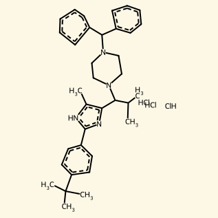 Cc1[nH]c(-c2ccc(C(C)(C)C)cc2)nc1C(C(C)C)N1CCN(C(c2ccccc2)c2ccccc2)CC1.Cl.Cl.Cl